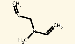 C=CN(C)CN=C